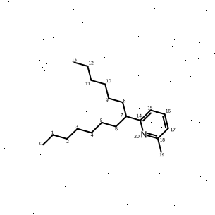 CCCCCCCC(CCCCCC)c1cccc(C)n1